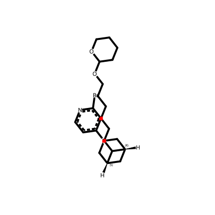 Brc1cc(N2C[C@H]3C[C@@H](C2)C3CCCCCCOC2CCCCO2)ccn1